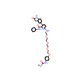 CC(=O)Nc1ccc(OCCOCCOCCOCCNc2ccc(-c3ccc4c(c3)CC(=O)N4)c(C(=O)Nc3ccccc3)n2)cc1